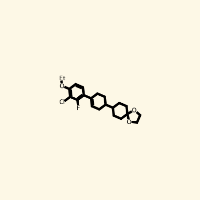 CCOc1ccc(C2=CCC(C3CCC4(CC3)OCCO4)CC2)c(F)c1Cl